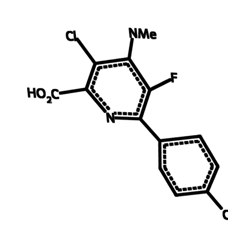 CNc1c(F)c(-c2ccc(Cl)cc2)nc(C(=O)O)c1Cl